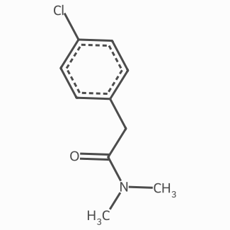 CN(C)C(=O)Cc1ccc(Cl)cc1